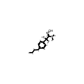 CCCCc1ccc(C(F)(F)/C(=N/O)N(C)C)cc1